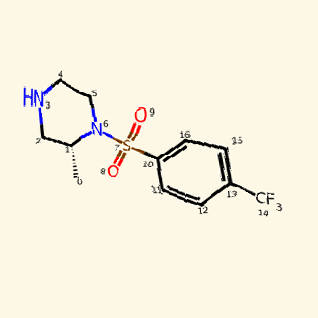 C[C@@H]1CNCCN1S(=O)(=O)c1ccc(C(F)(F)F)cc1